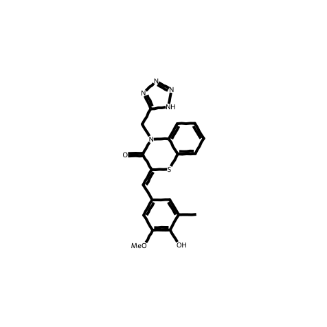 COc1cc(/C=C2\Sc3ccccc3N(Cc3nnn[nH]3)C2=O)cc(C)c1O